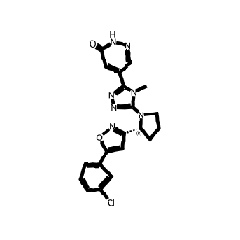 Cn1c(-c2cn[nH]c(=O)c2)nnc1N1CCC[C@@H]1c1cc(-c2cccc(Cl)c2)on1